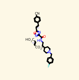 N#Cc1ccc(/C=C/c2nc(C(=O)NCCC3CCN(Cc4ccc(F)cc4)CC3)no2)cc1.O=C(O)/C=C/C(=O)O